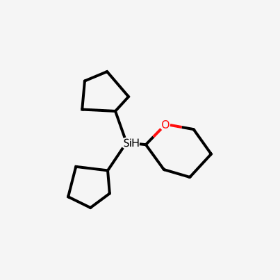 C1CCC([SiH](C2CCCC2)C2CCCC2)OC1